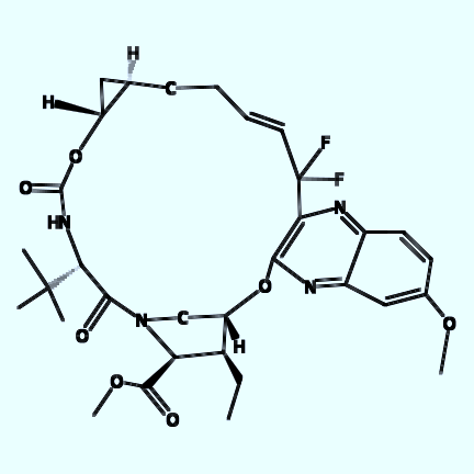 CC[C@@H]1[C@@H]2CN(C(=O)[C@H](C(C)(C)C)NC(=O)O[C@@H]3C[C@H]3CC/C=C/C(F)(F)c3nc4ccc(OC)cc4nc3O2)[C@@H]1C(=O)OC